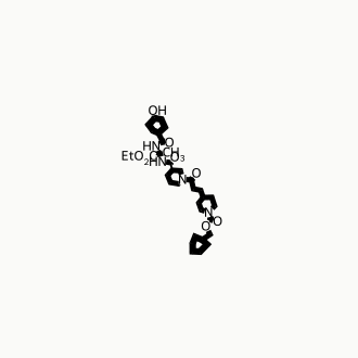 CCOC(=O)[C@@](C)(NC(=O)c1ccc(O)cc1)NC(=O)[C@@H]1CCCN(C(=O)CCC2CCN(C(=O)OCc3ccccc3)CC2)C1